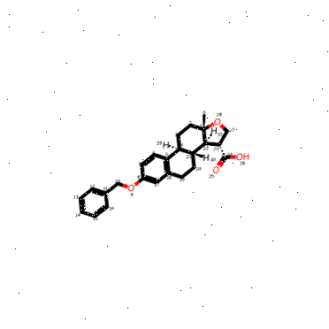 C[C@]12CC[C@@H]3c4ccc(OCc5ccccc5)cc4CC[C@H]3[C@@H]1[C@@H](C(=O)O)CO2